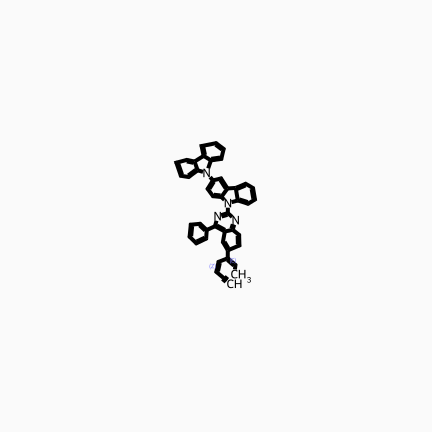 C#C/C=C\C(=C/C)c1ccc2nc(-n3c4ccccc4c4cc(-n5c6ccccc6c6ccccc65)ccc43)nc(-c3ccccc3)c2c1